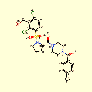 N#Cc1ccc(C(=O)N2CCN(C(=O)[C@@H]3CCCN3S(=O)(=O)c3ccc(Cl)c(CBr)c3Cl)CC2)cc1